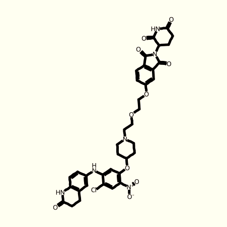 O=C1CCC(N2C(=O)c3ccc(OCCOCCN4CCC(Oc5cc(Nc6ccc7c(c6)CCC(=O)N7)c(Cl)cc5[N+](=O)[O-])CC4)cc3C2=O)C(=O)N1